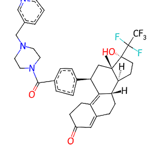 C[C@]12C[C@H](c3ccc(C(=O)N4CCN(Cc5cccnc5)CC4)cc3)C3=C4CCC(=O)C=C4CC[C@H]3[C@@H]1CC[C@]2(O)C(F)(F)C(F)(F)F